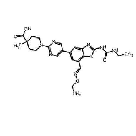 CCNC(=O)Nc1nc2cc(-c3cnc(N4CCC(C)(C(=O)O)CC4)nc3)cc(/C=N/OCC)c2s1